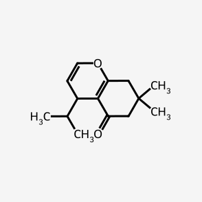 CC(C)C1C=COC2=C1C(=O)CC(C)(C)C2